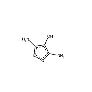 Nc1noc(N)c1O